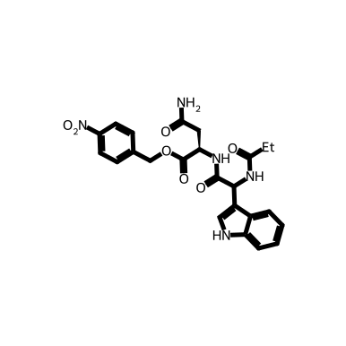 CCC(=O)NC(C(=O)N[C@H](CC(N)=O)C(=O)OCc1ccc([N+](=O)[O-])cc1)c1c[nH]c2ccccc12